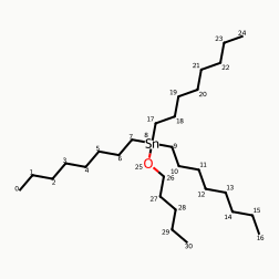 CCCCCCC[CH2][Sn]([CH2]CCCCCCC)([CH2]CCCCCCC)[O]CCCCC